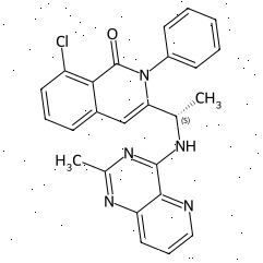 Cc1nc(N[C@@H](C)c2cc3cccc(Cl)c3c(=O)n2-c2ccccc2)c2ncccc2n1